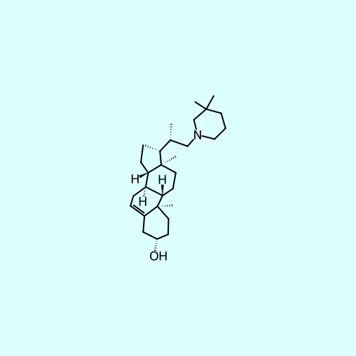 C[C@H](CN1CCCC(C)(C)C1)[C@H]1CC[C@H]2[C@@H]3CC=C4C[C@@H](O)CC[C@]4(C)[C@H]3CC[C@]12C